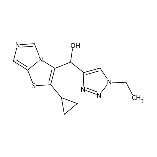 CCn1cc(C(O)c2c(C3CC3)sc3cncn23)nn1